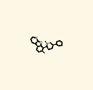 Cc1ccc2c(oc3ncccc32)c1-c1ccc(-c2ccccc2)c[n+]1C